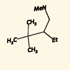 CCC(CNC)C(C)(C)C